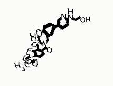 CCc1c(C(=O)N2CCOc3ccc(-c4ccc(NCCO)nc4)cc3C2)ccc(S(C)(=O)=O)c1F